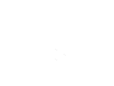 Clc1ccc2c(c1)sc1cc(-c3nc(-c4ccccc4)nc(-c4ccccc4)n3)ccc12